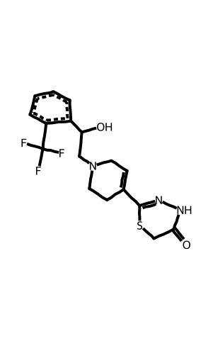 O=C1CSC(C2=CCN(CC(O)c3ccccc3C(F)(F)F)CC2)=NN1